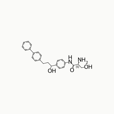 N[C@@H](CO)C(=O)Nc1ccc(C(O)CCc2ccc(-c3ccccc3)cc2)cc1